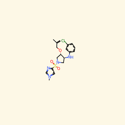 C=C(C)CO[C@H]1CN(S(=O)(=O)c2cn(C)cn2)C[C@@H]1Nc1cccc(Cl)c1